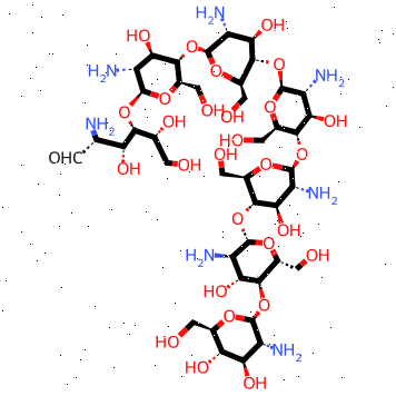 N[C@H]1[C@H](O[C@H]2[C@H](O)[C@@H](N)[C@H](O[C@H]3[C@H](O)[C@@H](N)[C@H](O[C@H]4[C@H](O)[C@@H](N)[C@H](O[C@H]5[C@H](O)[C@@H](N)[C@H](O[C@H]6[C@H](O)[C@@H](N)[C@H](O[C@@H]([C@H](O)[C@@H](N)C=O)[C@H](O)CO)O[C@@H]6CO)O[C@@H]5CO)O[C@@H]4CO)O[C@@H]3CO)O[C@@H]2CO)O[C@H](CO)[C@@H](O)[C@@H]1O